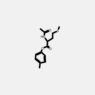 CSCCC(NC(C)=O)C(=O)Oc1ccc(C)cc1